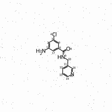 Nc1cc(Cl)cc(C(=O)NCc2cccnc2)c1